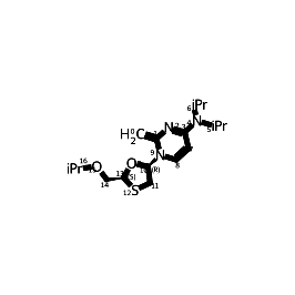 C=C1N=C(N(C(C)C)C(C)C)C=CN1[C@H]1CS[C@@H](COC(C)C)O1